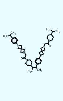 CC(C)c1ccc(N2CC3(CN(CC(=O)N4CCC(C(C)C(C)c5ccc(C6CC7(C6)CN(CC(=O)N6CCC(C(C)C)CC6)C7)cc5)CC4)C3)C2)cc1